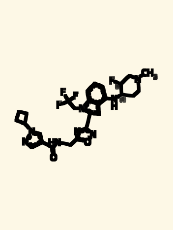 CN1CC[C@@H](Nc2cccc3c2cc(-c2noc(CNC(=O)c4cnn(C5CCC5)c4)n2)n3CC(F)(F)F)[C@@H](F)C1